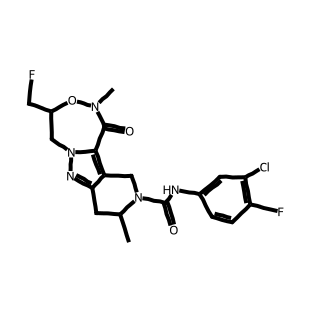 CC1Cc2nn3c(c2CN1C(=O)Nc1ccc(F)c(Cl)c1)C(=O)N(C)OC(CF)C3